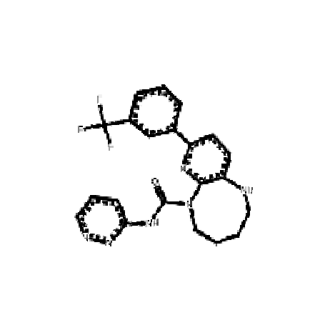 O=C(Nc1cccnn1)N1CCCCNc2ccc(-c3cccc(C(F)(F)F)c3)nc21